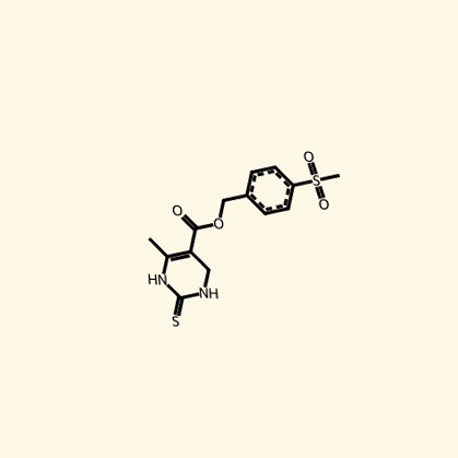 CC1=C(C(=O)OCc2ccc(S(C)(=O)=O)cc2)CNC(=S)N1